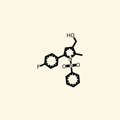 Cc1c(CO)cc(-c2ccc(F)cc2)n1S(=O)(=O)c1ccccc1